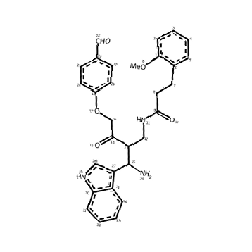 COc1ccccc1CCC(=O)NCC(C(=O)COc1ccc(C=O)cc1)C(N)c1c[nH]c2ccccc12